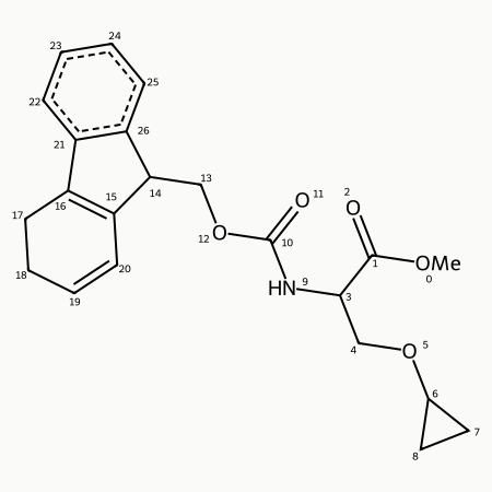 COC(=O)C(COC1CC1)NC(=O)OCC1C2=C(CCC=C2)c2ccccc21